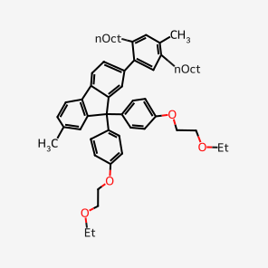 CCCCCCCCc1cc(-c2ccc3c(c2)C(c2ccc(OCCOCC)cc2)(c2ccc(OCCOCC)cc2)c2cc(C)ccc2-3)c(CCCCCCCC)cc1C